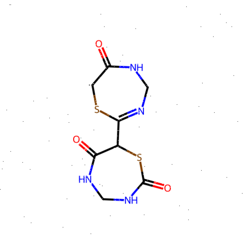 O=C1[CH]SC(C2SC(=O)NCNC2=O)=NCN1